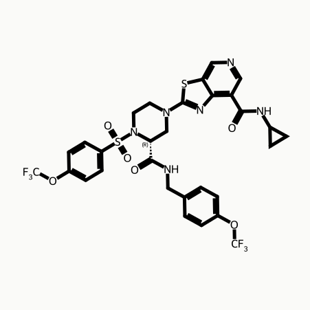 O=C(NC1CC1)c1cncc2sc(N3CCN(S(=O)(=O)c4ccc(OC(F)(F)F)cc4)[C@@H](C(=O)NCc4ccc(OC(F)(F)F)cc4)C3)nc12